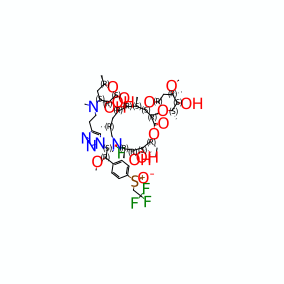 CC[C@H]1OC(=O)[C@H](C)[C@@H](O[C@H]2C[C@@](C)(OC)[C@@H](O)[C@H](C)O2)[C@H](C)[C@@H](O[C@@H]2O[C@H](C)C[C@H](N(C)CCc3cn([C@H](CF)[C@H](OC)c4ccc([S+]([O-])CC(F)(F)F)cc4)nn3)[C@H]2O)[C@](C)(O)C[C@@H](C)CN(C)[C@H](C)[C@@H](O)[C@]1(C)O